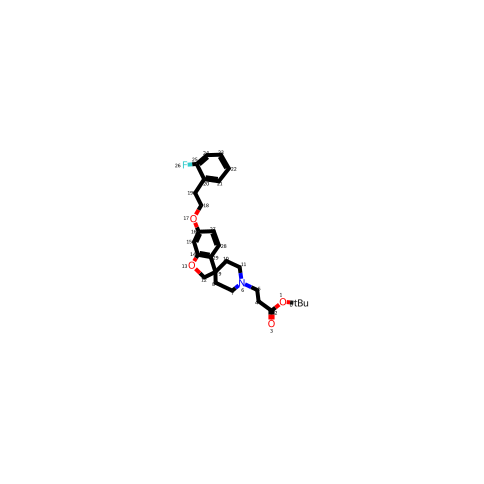 CC(C)(C)OC(=O)CCN1CCC2(CC1)COc1cc(OCCc3ccccc3F)ccc12